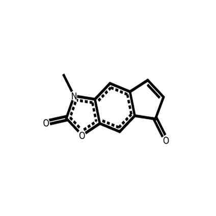 Cn1c(=O)oc2cc3c(cc21)C=CC3=O